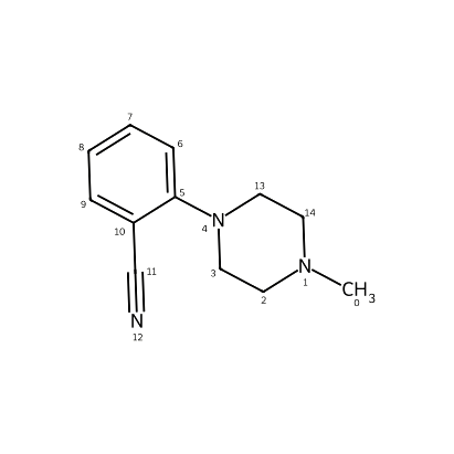 CN1CCN(c2ccccc2C#N)CC1